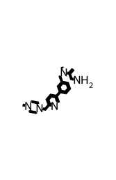 C=C(CN)N(C)Cc1cccc(-c2ccc(CN3CCN(C)CC3)nc2)c1